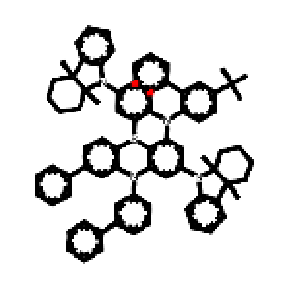 CC(C)(C)c1ccc(N2c3ccc(N4c5ccccc5C5(C)CCCCC45C)cc3B3c4ccc(-c5ccccc5)cc4N(c4cccc(-c5ccccc5)c4)c4cc(N5c6ccccc6C6(C)CCCCC56C)cc2c43)c(-c2ccccc2)c1